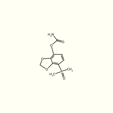 CP(C)(=O)c1ccc(OC(N)=O)c2c1OCO2